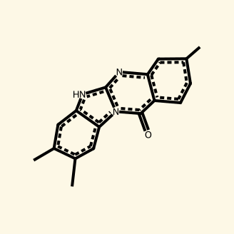 Cc1ccc2c(=O)n3c(nc2c1)[nH]c1cc(C)c(C)cc13